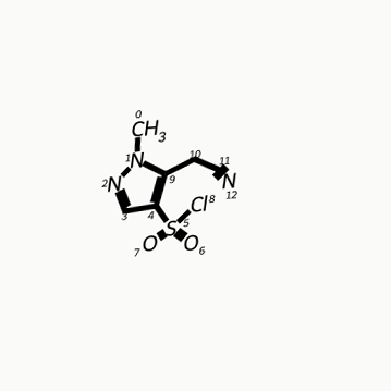 Cn1ncc(S(=O)(=O)Cl)c1CC#N